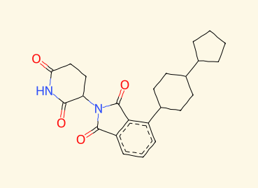 O=C1CCC(N2C(=O)c3cccc(C4CCC(C5CCCC5)CC4)c3C2=O)C(=O)N1